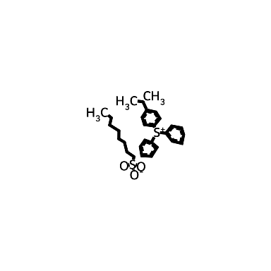 CC(C)c1ccc([S+](c2ccccc2)c2ccccc2)cc1.CCCCCCCCS(=O)(=O)[O-]